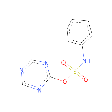 O=S(=O)(Nc1ccccc1)Oc1ncncn1